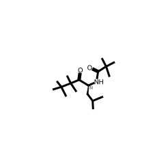 CC(C)C[C@H](NC(=O)C(C)(C)C)C(=O)C(C)(C)C(C)(C)C